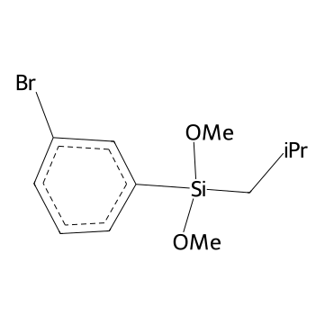 CO[Si](CC(C)C)(OC)c1cccc(Br)c1